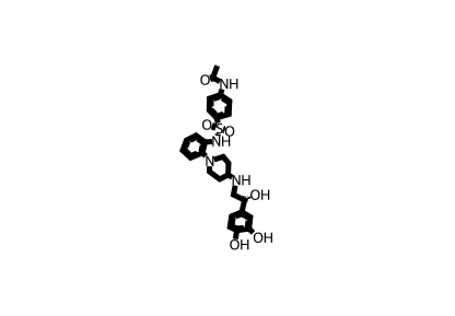 CC(=O)Nc1ccc(S(=O)(=O)Nc2ccccc2N2CCC(NC[C@H](O)c3ccc(O)c(O)c3)CC2)cc1